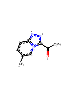 COC(=O)c1nnc2ccc(C(F)(F)F)cn12